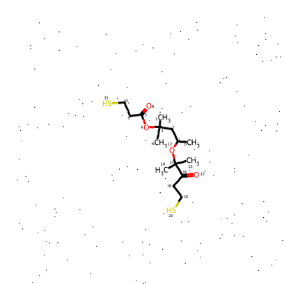 CC(CC(C)(C)OC(=O)CCS)OC(C)(C)C(=O)CCS